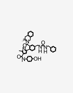 Cc1c(C(=O)N(C)c2ccc(O)cc2)cc(-c2ccc(CNC(=O)NCc3ccccc3)cc2C(=O)N2Cc3ccccc3C[C@H]2C)n1C